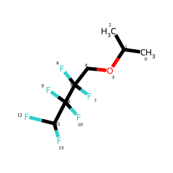 CC(C)OCC(F)(F)C(F)(F)[C](F)F